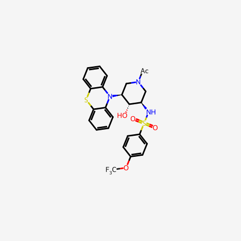 CC(=O)N1C[C@@H](NS(=O)(=O)c2ccc(OC(F)(F)F)cc2)[C@H](O)[C@@H](N2c3ccccc3Sc3ccccc32)C1